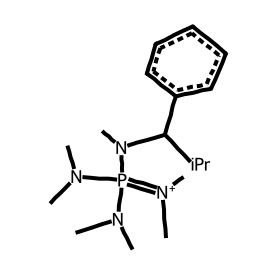 CC(C)C(c1ccccc1)N(C)P(N(C)C)(N(C)C)=[N+](C)C